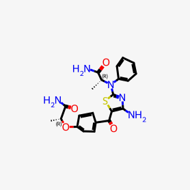 C[C@H](C(N)=O)N(c1ccccc1)c1nc(N)c(C(=O)c2ccc(O[C@H](C)C(N)=O)cc2)s1